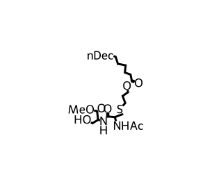 CCCCCCCCCCCCCCCC(=O)OCCCSCC(NC(C)=O)C(=O)NC(CO)C(=O)OC